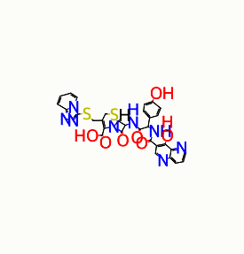 O=C(O)C1=C(CSc2nnc3ccccn23)CS[C@H]2C(NC(=O)C(NC(=O)c3cnc4cccnc4c3O)c3ccc(O)cc3)C(=O)N12